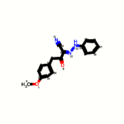 COc1ccc(CC(=O)/C(C#N)=N/Nc2ccccc2)cc1